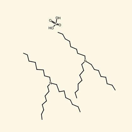 CCCCCCCCN(CCCCCCCC)CCCCCCCC.CCCCCCCCN(CCCCCCCC)CCCCCCCC.O=S(=O)(O)O